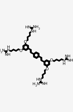 N=C(N)NCCCCOc1cc(/C=C/c2ccc(/C=C/c3cc(OCCCCNC(=N)N)cc(OCCCCNC(=N)N)c3)cc2)cc(OCCCCNC(=N)N)c1